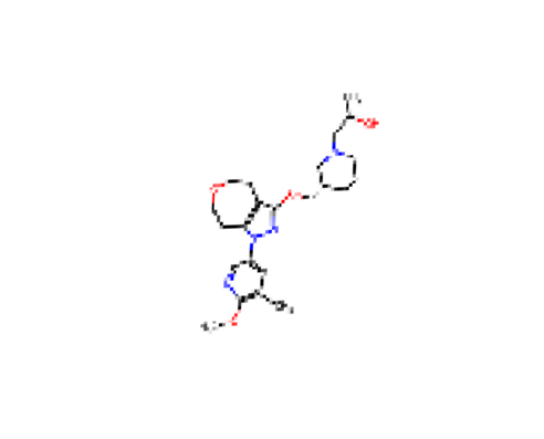 COc1ncc(-n2nc(OC[C@H]3CCCN(C[C@@H](C)O)C3)c3c2CCOCC3)cc1C